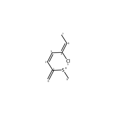 C=C(/C=C\C(Cl)=C/C)SC